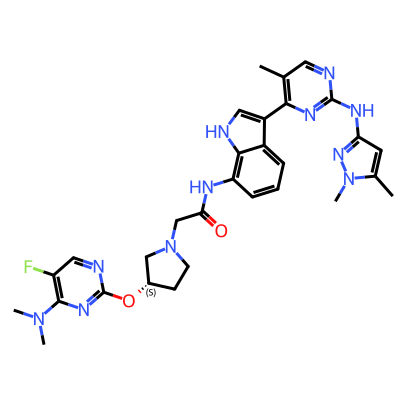 Cc1cnc(Nc2cc(C)n(C)n2)nc1-c1c[nH]c2c(NC(=O)CN3CC[C@H](Oc4ncc(F)c(N(C)C)n4)C3)cccc12